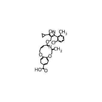 C=C1COC2=CC=C(C(=O)O)CC=C2OC/C=C\C(OCc2c(-c3c(C)cccc3Cl)noc2C2CC2)=N/1